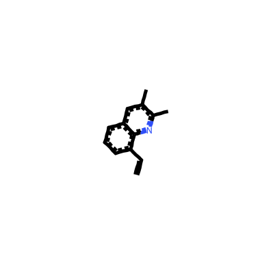 C=Cc1cccc2cc(C)c(C)nc12